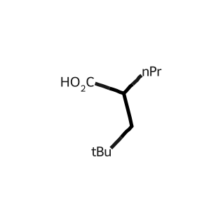 CCCC(CC(C)(C)C)C(=O)O